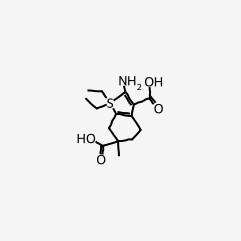 CCS1(CC)C(N)=C(C(=O)O)C2=C1CC(C)(C(=O)O)CC2